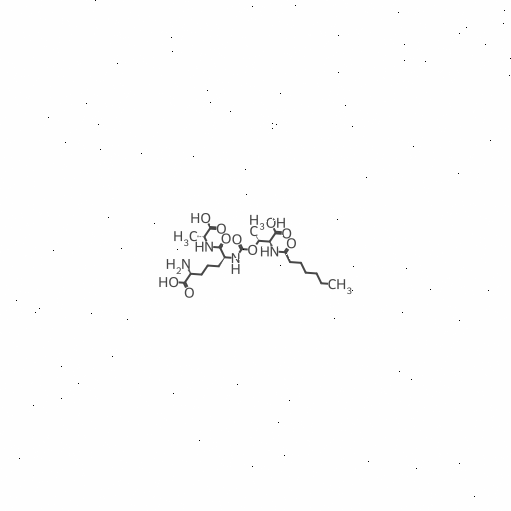 CCCCCCC(=O)N[C@H](C(=O)O)[C@@H](C)OC(=O)N[C@@H](CCC[C@H](N)C(=O)O)C(=O)N[C@H](C)C(=O)O